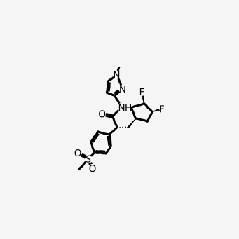 Cn1ccc(NC(=O)[C@H](C[C@H]2C[C@@H](F)[C@@H](F)C2)c2ccc(S(C)(=O)=O)cc2)n1